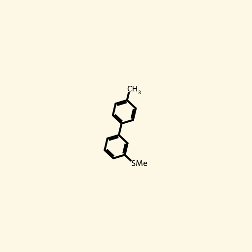 CSc1cccc(-c2ccc(C)cc2)c1